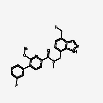 CCOc1nc(C(=O)N(C)Cc2ccc(CF)c3cn[nH]c23)ccc1-c1cccc(F)c1